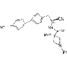 COC1(C(=O)N[C@H](C#N)Cc2ccc(-c3ccc(C#N)cc3)cc2)CN(C(C)C)C1